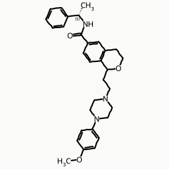 COc1ccc(N2CCN(CCC3OCCc4cc(C(=O)N[C@@H](C)c5ccccc5)ccc43)CC2)cc1